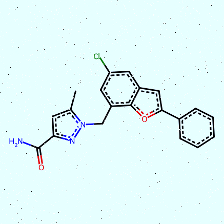 Cc1cc(C(N)=O)nn1Cc1cc(Cl)cc2cc(-c3ccccc3)oc12